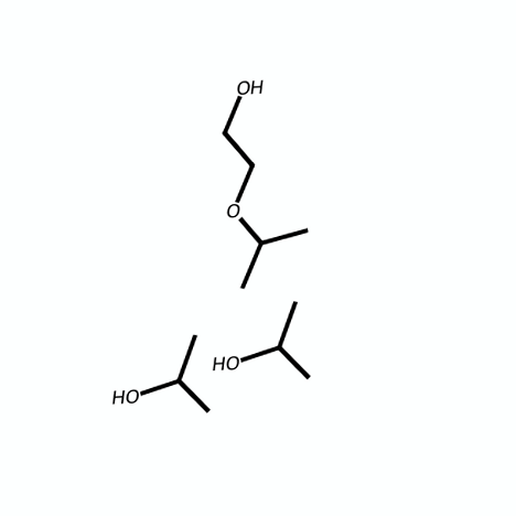 CC(C)O.CC(C)O.CC(C)OCCO